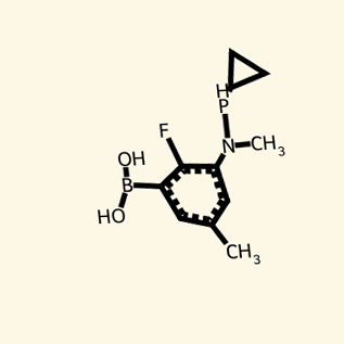 Cc1cc(B(O)O)c(F)c(N(C)PC2CC2)c1